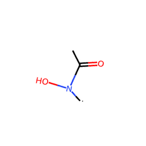 [CH2]N(O)C(C)=O